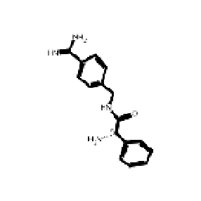 N=C(N)c1ccc(CNC(=O)[C@@H](N)c2ccccc2)cc1